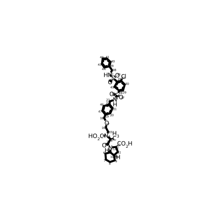 C[C@@H](C(=O)N1[C@@H]2CCCC[C@@H]2C[C@H]1C(=O)O)N(CCOCc1ccc(CNS(=O)(=O)c2ccc(Cl)c(S(=O)(=O)NCc3ccccc3)c2)cc1)C(=O)O